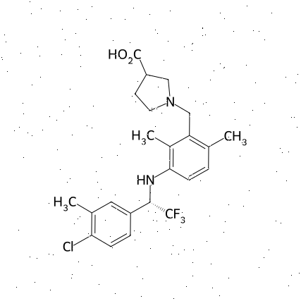 Cc1cc([C@H](Nc2ccc(C)c(CN3CCC(C(=O)O)C3)c2C)C(F)(F)F)ccc1Cl